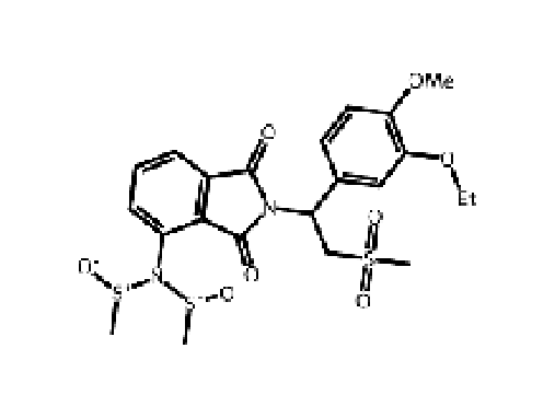 CCOc1cc(C(CS(C)(=O)=O)N2C(=O)c3cccc(N([S+](C)[O-])[S+](C)[O-])c3C2=O)ccc1OC